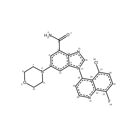 NC(=O)c1cc(N2CCOCC2)cc2c1ncn2-c1ccnc2c(F)ccc(Cl)c12